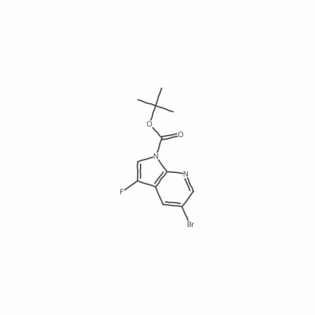 CC(C)(C)OC(=O)n1cc(F)c2cc(Br)cnc21